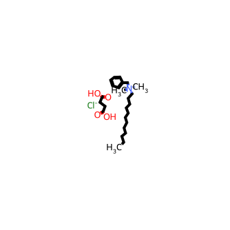 CCCCCCCCCCCC[N+](C)(C)Cc1ccccc1.O=C(O)CCC(=O)O.[Cl-]